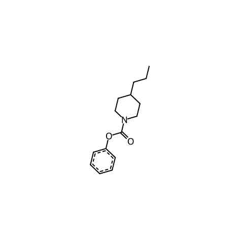 CCCC1CCN(C(=O)Oc2ccccc2)CC1